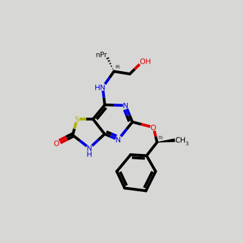 CCC[C@H](CO)Nc1nc(O[C@@H](C)c2ccccc2)nc2[nH]c(=O)sc12